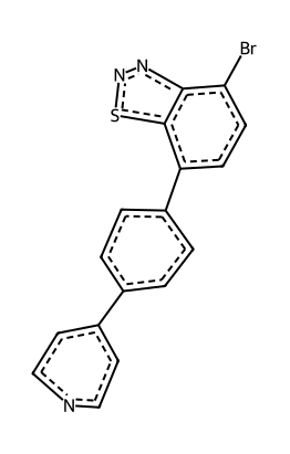 Brc1ccc(-c2ccc(-c3ccncc3)cc2)c2snnc12